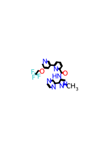 Cn1cc(NC(=O)c2cccc(-c3cncc(OCC(F)(F)F)c3)n2)c(-c2cnccn2)n1